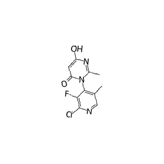 Cc1cnc(Cl)c(F)c1-n1c(C)nc(O)cc1=O